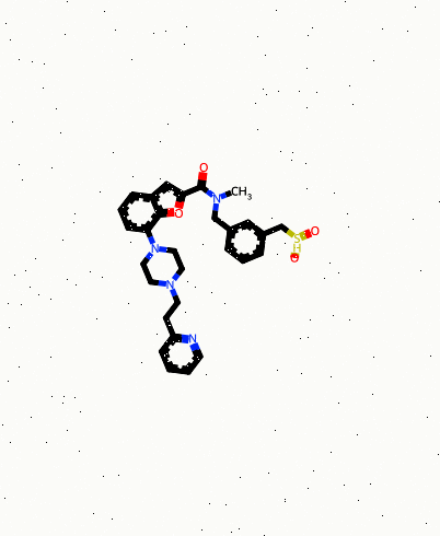 CN(Cc1cccc(C[SH](=O)=O)c1)C(=O)c1cc2cccc(N3CCN(CCc4ccccn4)CC3)c2o1